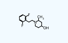 CC1CC(O)CCN1CCc1c(F)cccc1F